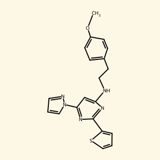 COc1ccc(CCNc2cc(-n3cccn3)nc(-c3cccs3)n2)cc1